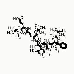 C/C(=C\[C@H](C(C)C)N(C)C(=O)C(NC(=O)[C@@H](N(C)C(=O)OC(C)(C)C)C(C)(C)c1ccccc1)C(C)(C)C)C(=O)N[C@H](CCC(=O)N[C@H](CCC(=O)O)C(=O)OC(C)(C)C)C(=O)OC(C)(C)C